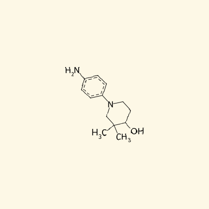 CC1(C)CN(c2ccc(N)cc2)CCC1O